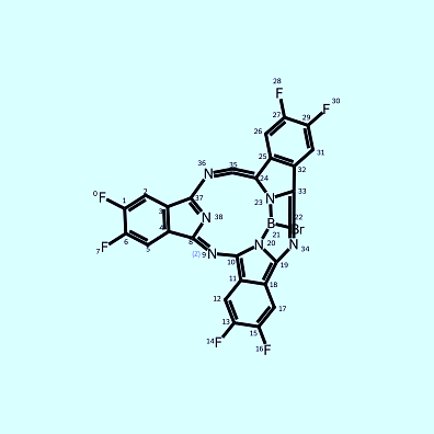 Fc1cc2c(cc1F)/C1=N/c3c4cc(F)c(F)cc4c4n3B(Br)n3c(c5cc(F)c(F)cc5c3=N4)=C=NC2=N1